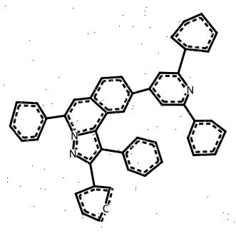 c1ccc(-c2cc(-c3ccc4cc(-c5ccccc5)n5nc(-c6ccccc6)c(-c6ccccc6)c5c4c3)cc(-c3ccccc3)n2)cc1